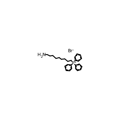 NCCCCCCCCC[P+](c1ccccc1)(c1ccccc1)c1ccccc1.[Br-]